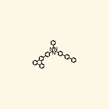 c1ccc(-c2ccc(-c3ccc(-c4nc(-c5ccccc5)nc(-c5ccc(-c6ccc7c8ccccc8c8ccccc8c7c6)cc5)n4)cc3)cc2)cc1